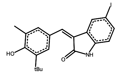 Cc1cc(C=C2C(=O)Nc3ccc(I)cc32)cc(C(C)(C)C)c1O